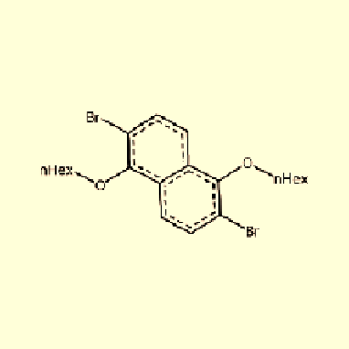 CCCCCCOc1c(Br)ccc2c(OCCCCCC)c(Br)ccc12